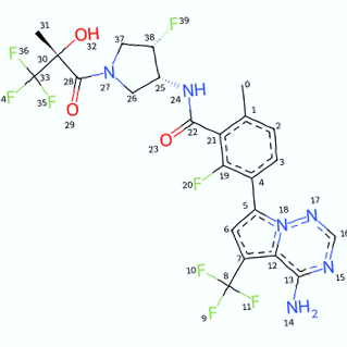 Cc1ccc(-c2cc(C(F)(F)F)c3c(N)ncnn23)c(F)c1C(=O)N[C@@H]1CN(C(=O)[C@@](C)(O)C(F)(F)F)C[C@@H]1F